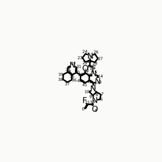 C=C(F)C(=O)N1CCC2C1CN2c1ncnc2c(OC(F)C34CCCN3CCC4)c(-c3cncc4c3CCCC4)ccc12